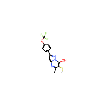 CSc1c(C)nc2cc(-c3ccc(OC(F)(F)F)cc3)nn2c1O